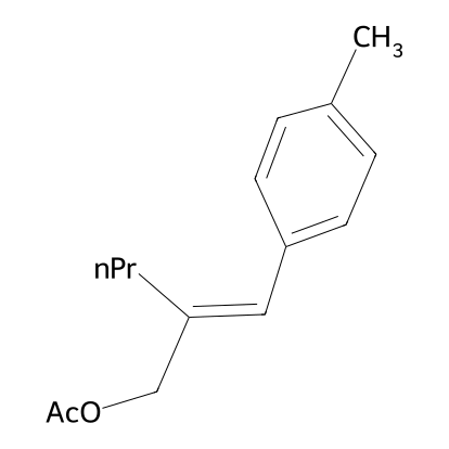 CCC/C(=C\c1ccc(C)cc1)COC(C)=O